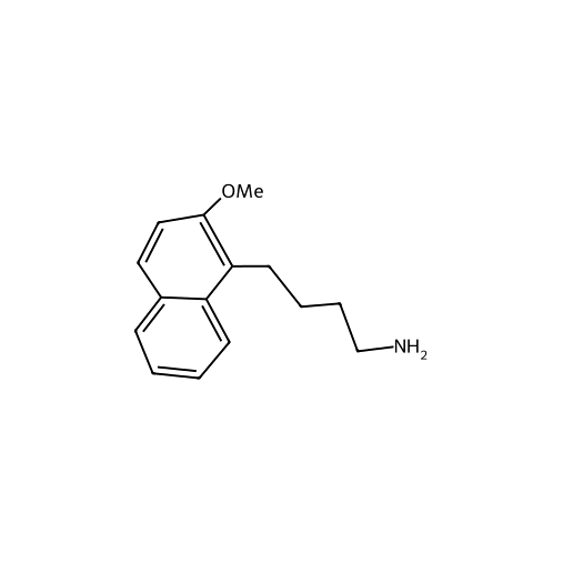 COc1ccc2ccccc2c1CCCCN